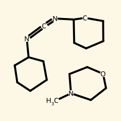 C(=NC1CCCCC1)=NC1CCCCC1.CN1CCOCC1